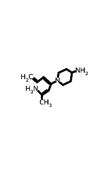 C=C/C=C(\C=C(\C)N)N1CCC(N)CC1